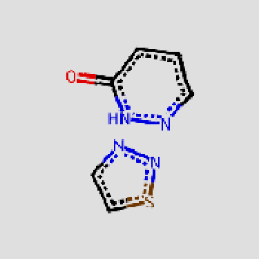 O=c1cccn[nH]1.c1csnn1